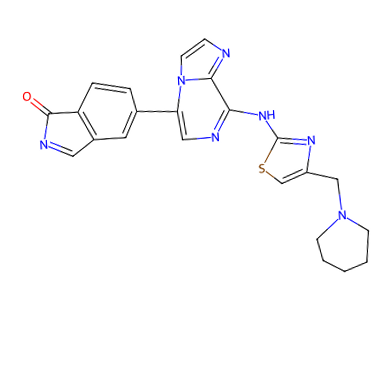 O=C1N=Cc2cc(-c3cnc(Nc4nc(CN5CCCCC5)cs4)c4nccn34)ccc21